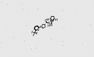 N#CN1[C@H]2CC[C@@H]1[C@H](NC(=O)[C@@H]1CCN(c3cccc(C(F)(F)F)n3)C1)C2